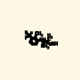 C/C(C=N)=C(/N)Nc1cccc(C(F)(F)F)c1C